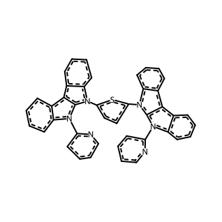 c1ccc(-n2c3ccccc3c3c4ccccc4n(-c4ccc(-n5c6ccccc6c6c7ccccc7n(-c7ccccn7)c65)s4)c32)nc1